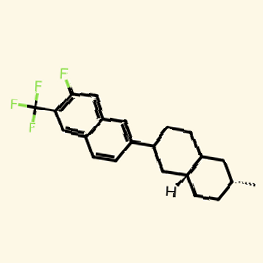 C[C@@H]1CC[C@@H]2CC(c3ccc4cc(C(F)(F)F)c(F)cc4c3)CCC2C1